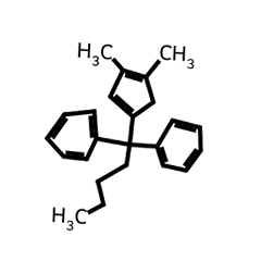 CCCCC(C1=CC(C)=C(C)C1)(c1ccccc1)c1ccccc1